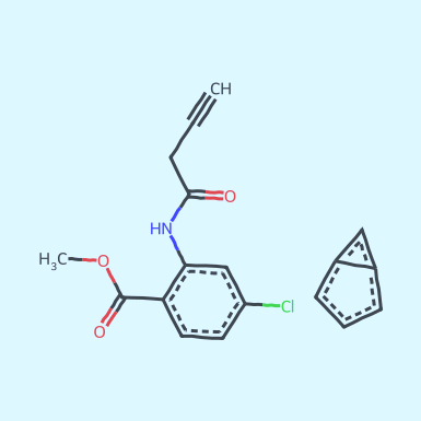 C#CCC(=O)Nc1cc(Cl)ccc1C(=O)OC.c1cc2cc-2c1